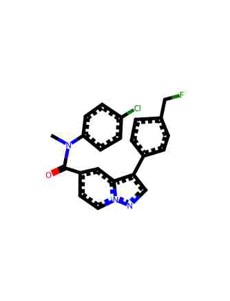 CN(C(=O)c1ccn2ncc(-c3ccc(CF)cc3)c2c1)c1ccc(Cl)cc1